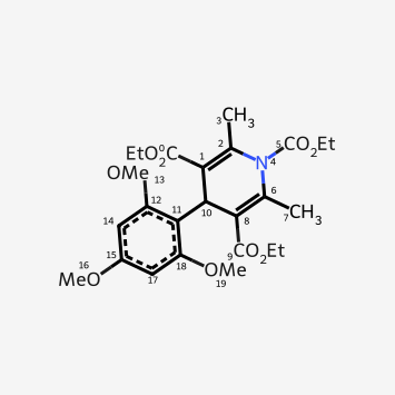 CCOC(=O)C1=C(C)N(C(=O)OCC)C(C)=C(C(=O)OCC)C1c1c(OC)cc(OC)cc1OC